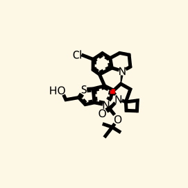 CC(C)(C)OC(=O)N1C[C@@H](N2CCCc3cc(Cl)cc(-c4ccnc5cc(CO)sc45)c32)CC12CCC2